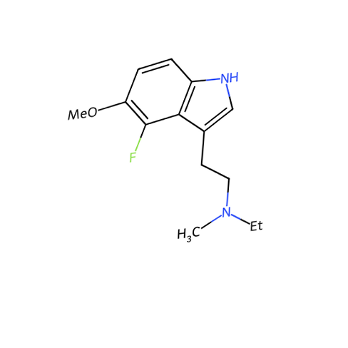 CCN(C)CCc1c[nH]c2ccc(OC)c(F)c12